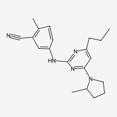 CCCc1cc(N2CCCC2C)nc(Nc2ccc(C)c(C#N)c2)n1